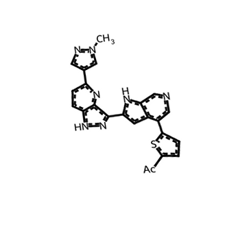 CC(=O)c1ccc(-c2cncc3[nH]c(-c4n[nH]c5ccc(-c6cnn(C)c6)nc45)cc23)s1